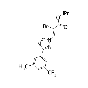 Cc1cc(-c2ncn(/C=C(\Br)C(=O)OC(C)C)n2)cc(C(F)(F)F)c1